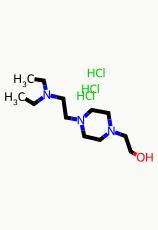 CCN(CC)CCN1CCN(CCO)CC1.Cl.Cl.Cl